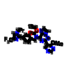 COc1ncncc1-c1nc(N(Cc2ccc(-c3nc(C(F)(F)F)cn3C(C)C)cc2)C(=O)OC(C)(C)C)c2nccn2n1